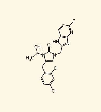 CC(C)n1c(Cc2ccc(Cl)cc2Cl)cn(Cc2nc3nc(F)ccc3[nH]2)c1=O